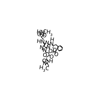 CCc1cc([C@H]2O[C@@H](n3cnc4c(NCCS(=O)(=O)NC)nc(N[C@H](COC=O)Cc5ccccc5)nc43)[C@H](O)[C@@H]2O)on1